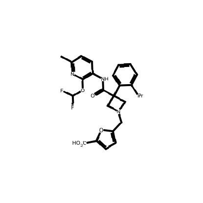 Cc1ccc(NC(=O)C2(c3ccccc3C(C)C)CN(Cc3ccc(C(=O)O)o3)C2)c(OC(F)F)n1